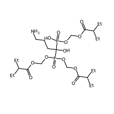 CCC(CC)C(=O)OCOP(=O)(O)C(O)(CCCN)P(=O)(OCOC(=O)C(CC)CC)OCOC(=O)C(CC)CC